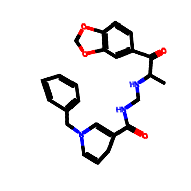 CC(NCNC(=O)C1=CN(Cc2ccccc2)C=CC1)C(=O)c1ccc2c(c1)OCO2